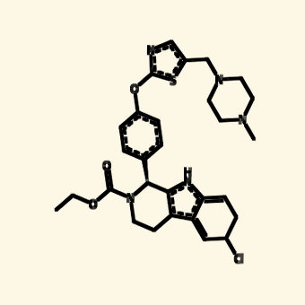 CCOC(=O)N1CCc2c([nH]c3c2=CC(Cl)CC=3)[C@@H]1c1ccc(Oc2ncc(CN3CCN(C)CC3)s2)cc1